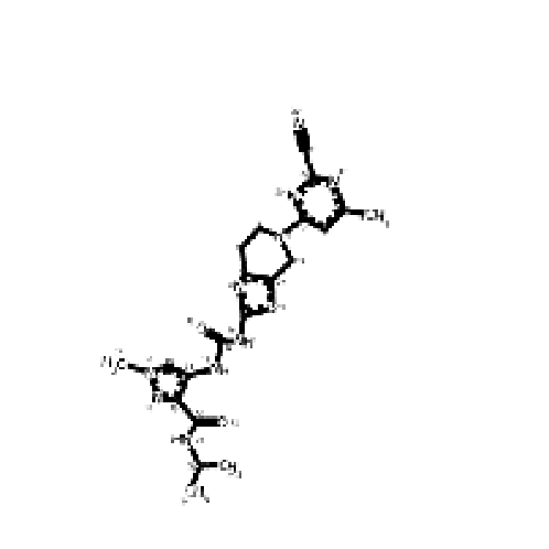 Cc1cc(N2CCc3nc(NC(=O)Nc4cn(C)nc4C(=O)NC(C)C)sc3C2)nc(C#N)n1